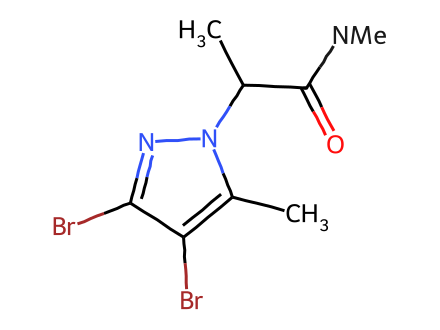 CNC(=O)C(C)n1nc(Br)c(Br)c1C